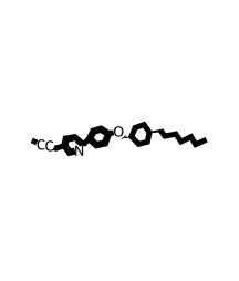 CCCCCCC[C@H]1CC[C@H](COc2ccc(-c3ccc(CCCC)cn3)cc2)CC1